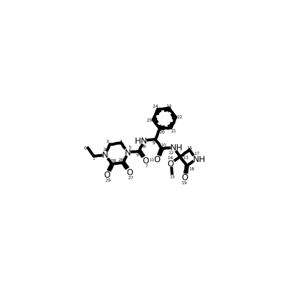 CCN1CCN(C(=O)NC(C(=O)NC2(OC)CNC2=O)c2ccccc2)C(=O)C1=O